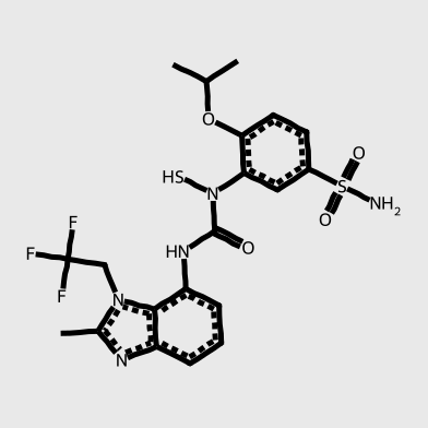 Cc1nc2cccc(NC(=O)N(S)c3cc(S(N)(=O)=O)ccc3OC(C)C)c2n1CC(F)(F)F